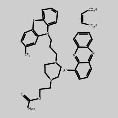 CC(=O)c1cccc2nc3ccccc3nc12.CCCCCCCCCC(=O)OCCN1CCN(CCCN2c3ccccc3Sc3ccc(C(F)(F)F)cc32)CC1.O=C(O)/C=C\C(=O)O